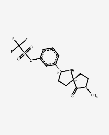 CN1CC[C@]2(CC[C@H](c3cccc(OS(=O)(=O)C(F)(F)F)c3)N2)C1=O